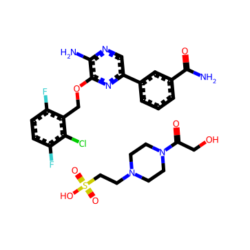 NC(=O)c1cccc(-c2cnc(N)c(OCc3c(F)ccc(F)c3Cl)n2)c1.O=C(CO)N1CCN(CCS(=O)(=O)O)CC1